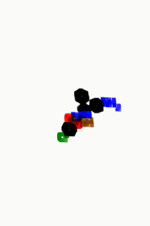 Nc1ccc(C2=NN(/C(S)=N/S(=O)(=O)c3ccc(Cl)cc3)CC2c2ccccc2)cc1